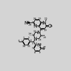 Cc1ccc(C(c2cccc(F)n2)N2C[C@H](C)N(c3cc(=O)n(C)c4ccc(C#N)nc34)C[C@H]2C)cc1